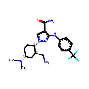 CN(C)[C@@H]1CC[C@H](n2cc(C(N)=O)c(Nc3ccc(C(F)(F)F)cc3)n2)[C@@H](CN)C1